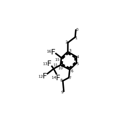 CCCc1ccc(CCC)c(C(F)(F)F)c1F